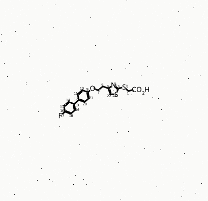 O=C(O)CSc1nc(CCOc2ccc(-c3ccc(F)cc3)cc2)cs1